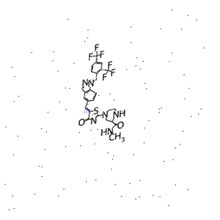 CNC(=O)C1CN(C2=NC(=O)/C(=C/c3ccc4c(cnn4Cc4ccc(C(F)(F)F)cc4C(F)(F)F)c3)S2)CCN1